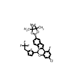 CC1(C)OB(c2ccc3c(c2)cc2n3C(c3ccc(CC(F)(F)F)s3)Oc3cc(Cl)cc(F)c3-2)OC1(C)C